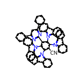 N#Cc1c(-n2c3ccccc3c3ccccc32)c(-n2c3ccccc3c3ccccc32)c(-c2nc(-c3ccccc3)cc(-c3ccccc3)n2)c(-n2c3ccccc3c3ccccc32)c1-n1c2ccccc2c2ccccc21